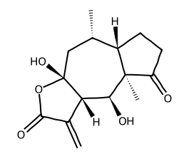 C=C1C(=O)O[C@]2(O)C[C@H](C)[C@@H]3CCC(=O)[C@@]3(C)[C@@H](O)[C@H]12